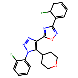 Fc1ccccc1-n1nnc(-c2nc(C3=CC=CCC3F)no2)c1C1CCOCC1